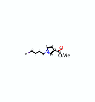 COC(=O)c1ccn(CCCCI)c1